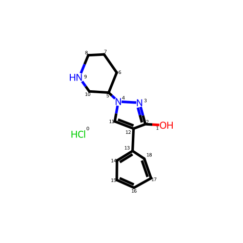 Cl.Oc1nn(C2CCCNC2)cc1-c1ccccc1